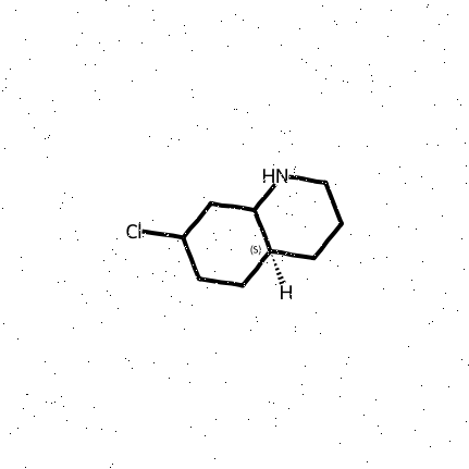 ClC1CC[C@@H]2CCCNC2C1